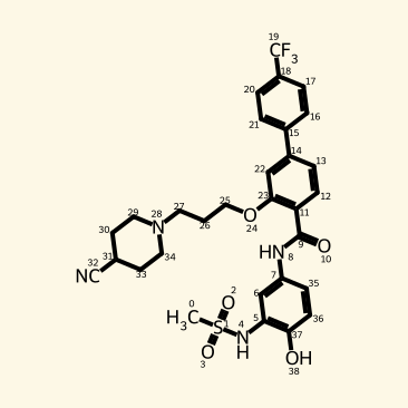 CS(=O)(=O)Nc1cc(NC(=O)c2ccc(-c3ccc(C(F)(F)F)cc3)cc2OCCCN2CCC(C#N)CC2)ccc1O